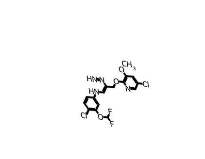 COc1cc(Cl)cnc1OC/C(=C/Nc1ccc(Cl)c(OC(F)F)c1)N=N